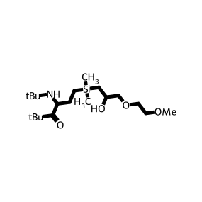 COCCOCC(O)C[Si](C)(C)CCC(NC(C)(C)C)C(=O)C(C)(C)C